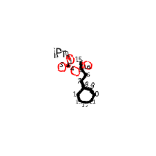 CC(C)OC(=O)OC1(CCC2CCCCCC2)CO1